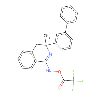 CC1(c2cccc(-c3ccccc3)c2)Cc2ccccc2C(NOC(=O)C(F)(F)F)=N1